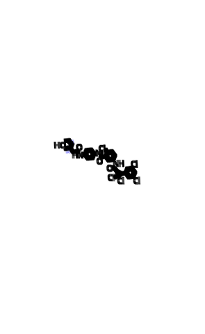 C/C=C\C(=C/O)CC(=O)Nc1ccc(NC(=O)c2cc(NC(=O)C3C(c4cc(Cl)cc(Cl)c4)C3(Cl)Cl)ccc2Cl)cc1